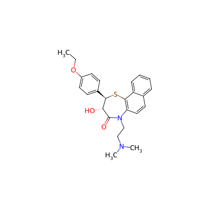 CCOc1ccc([C@H]2Sc3c(ccc4ccccc34)N(CCN(C)C)C(=O)[C@@H]2O)cc1